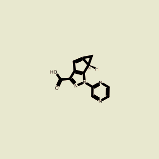 O=C(O)c1nn(-c2cnccn2)c2c1C=C1C[C@@H]12